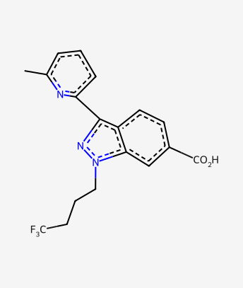 Cc1cccc(-c2nn(CCCC(F)(F)F)c3cc(C(=O)O)ccc23)n1